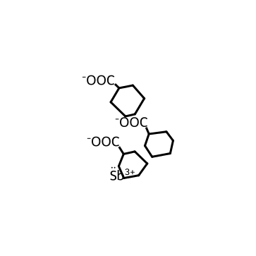 O=C([O-])C1CCCCC1.O=C([O-])C1CCCCC1.O=C([O-])C1CCCCC1.[Sb+3]